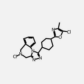 Cc1nc(C2CCC(c3nnc4n3-c3ccccc3CN(Cl)C4)CC2)oc1Cl